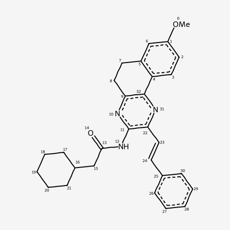 COc1ccc2c(c1)CCc1nc(NC(=O)CC3CCCCC3)c(/C=C/c3ccccc3)nc1-2